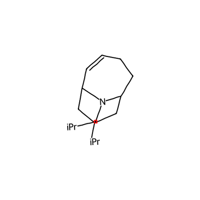 CC(C)CN1C2C=CCCC1CC(C(C)C)C2